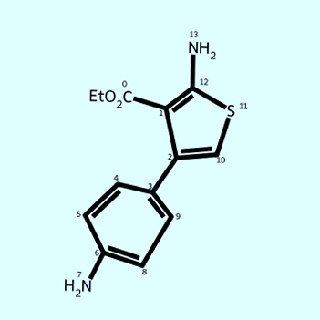 CCOC(=O)c1c(-c2ccc(N)cc2)csc1N